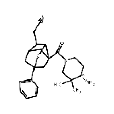 CC1(C)CN(C(=O)C23CC4CC(c5ccccc5)(CC2C4CC#N)C3)CC[C@@H]1N